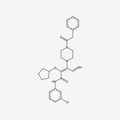 N=C/C(=C(/OC1CCCC1)C(=O)Nc1cccc(Cl)c1)N1CCN(C(=S)Cc2ccccc2)CC1